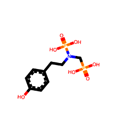 O=P(O)(O)CN(CCc1ccc(O)cc1)P(=O)(O)O